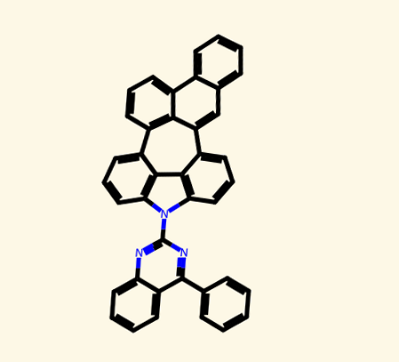 c1ccc(-c2nc(-n3c4cccc5c4c4c(cccc43)-c3cc4ccccc4c4cccc-5c34)nc3ccccc23)cc1